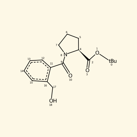 CC(C)(C)OC(=O)[C@@H]1CCCN1C(=O)c1ccccc1CO